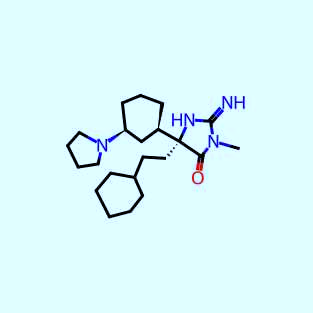 CN1C(=N)N[C@](CCC2CCCCC2)([C@@H]2CCC[C@H](N3CCCC3)C2)C1=O